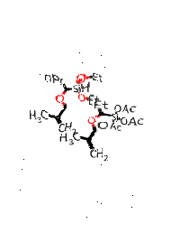 C=C(C)COC(CC)[Si](OC(C)=O)(OC(C)=O)OC(C)=O.C=C(C)COC(CCC)[SiH](OCC)OCC